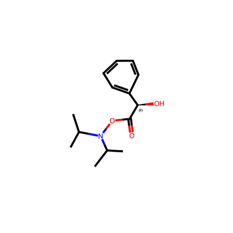 CC(C)N(OC(=O)[C@H](O)c1ccccc1)C(C)C